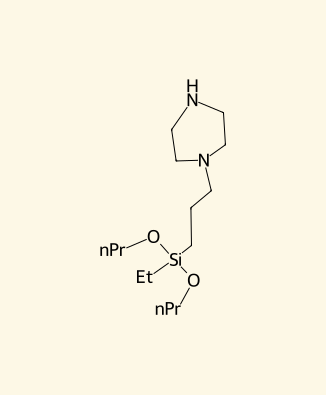 CCCO[Si](CC)(CCCN1CCNCC1)OCCC